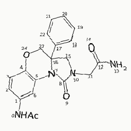 CC(=O)Nc1ccc2c(c1)N1C(=O)N(CC(N)=O)CC1(c1ccccc1)CO2